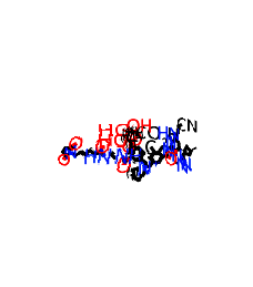 C[C@H]1CCC[N+](Cc2ccc(O[C@@H]3O[C@H](C(=O)O)[C@@H](O)[C@H](O)[C@H]3O)c(C(=O)NCCNC(=O)CCCCCN3C(=O)C=CC3=O)c2)(Cc2cc3c(c(C(F)(F)F)c2)CN(c2cc([C@]4(c5nncn5C)C[C@@H](C)C4)cc(NCCC#N)n2)C3=O)C1